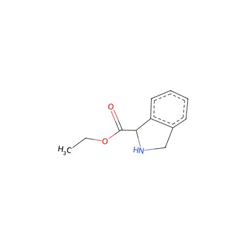 CCOC(=O)C1NCc2ccccc21